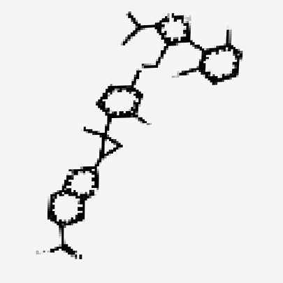 CC(C)c1onc(-c2c(Cl)cccc2Cl)c1COc1ccc(C2(C)CC2c2nc3ccc(C(=O)O)cc3s2)c(Cl)c1